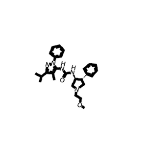 COCCN1C[C@@H](NC(=O)Nc2c(C)c(C(C)C)nn2-c2ccccc2)[C@H](c2ccccc2)C1